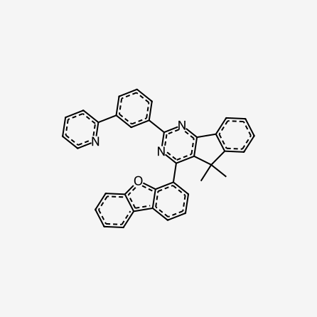 CC1(C)c2ccccc2-c2nc(-c3cccc(-c4ccccn4)c3)nc(-c3cccc4c3oc3ccccc34)c21